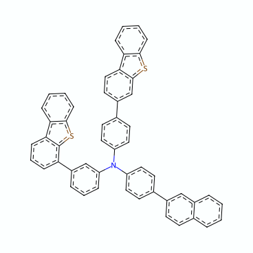 c1cc(-c2cccc3c2sc2ccccc23)cc(N(c2ccc(-c3ccc4ccccc4c3)cc2)c2ccc(-c3ccc4c(c3)sc3ccccc34)cc2)c1